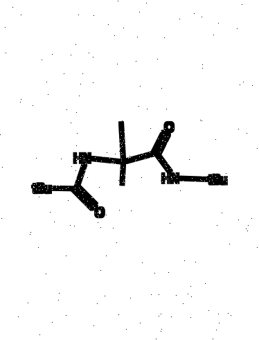 CC(C)(C)NC(=O)C(C)(C)NC(=O)C(C)(C)C